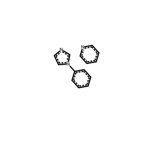 c1ccc(-n2ccnc2)cc1.c1ccncc1